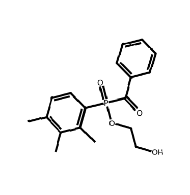 Cc1ccc(P(=O)(OCCO)C(=O)c2ccccc2)c(C)c1C